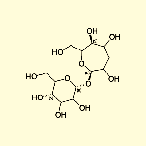 OCC1O[C@H](O[C@H]2OC(CO)[C@@H](O)C(O)CC2O)C(O)C(O)[C@@H]1O